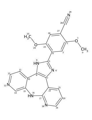 COc1cc(-c2nc3c([nH]2)-c2ccncc2Nc2ncccc2-3)c(OC)cc1C#N